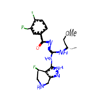 COC[C@H](C)N/C(=N/C(=O)c1ccc(F)c(F)c1)Nc1[nH]nc2c1C(F)CNC2